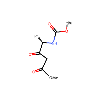 COC(=O)CC(=O)[C@H](NC(=O)OC(C)(C)C)C(C)C